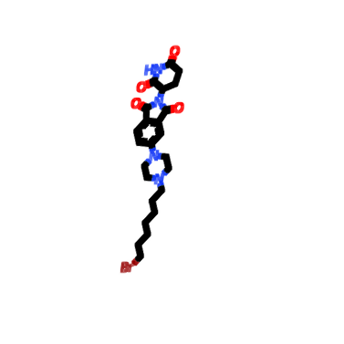 O=C1CCC(N2C(=O)c3ccc(N4CCN(CCCCCCCBr)CC4)cc3C2=O)C(=O)N1